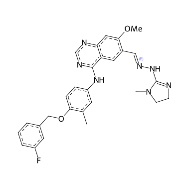 COc1cc2ncnc(Nc3ccc(OCc4cccc(F)c4)c(C)c3)c2cc1/C=N/NC1=NCCN1C